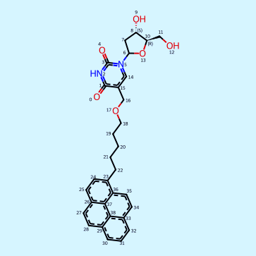 O=c1[nH]c(=O)n(C2C[C@H](O)[C@@H](CO)O2)cc1COCCCCCc1ccc2ccc3cccc4ccc1c2c34